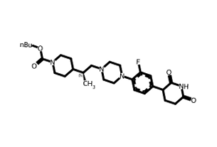 CCCCOC(=O)N1CCC([C@H](C)CN2CCN(c3ccc(C4CCC(=O)NC4=O)cc3F)CC2)CC1